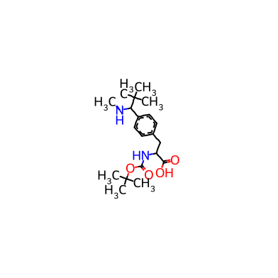 CNC(c1ccc(CC(NC(=O)OC(C)(C)C)C(=O)O)cc1)C(C)(C)C